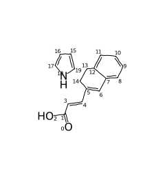 O=C(O)C=CC1=Cc2ccccc2CC1.c1cc[nH]c1